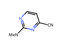 CNc1nccc(C#N)n1